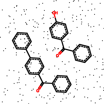 O=C(c1ccccc1)c1ccc(-c2ccccc2)cc1.O=C(c1ccccc1)c1ccc(O)cc1